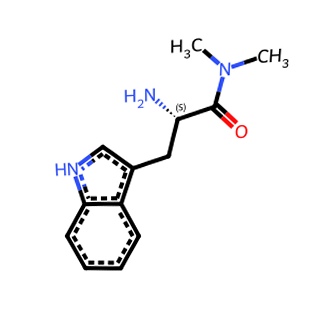 CN(C)C(=O)[C@@H](N)Cc1c[nH]c2ccccc12